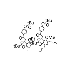 CC=CCc1cc(CC=CC)c(OC(=O)C(C)(C)C)c(C=CC(=O)c2ccc(OC(=O)C(C)(C)C)cc2)c1OC.CCOc1c(C)cc(C)c(OC(=O)C(C)(C)C)c1C=CC(=O)c1ccc(OC(=O)C(C)(C)C)cc1